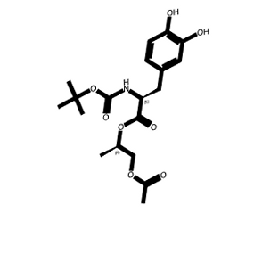 CC(=O)OC[C@@H](C)OC(=O)[C@H](Cc1ccc(O)c(O)c1)NC(=O)OC(C)(C)C